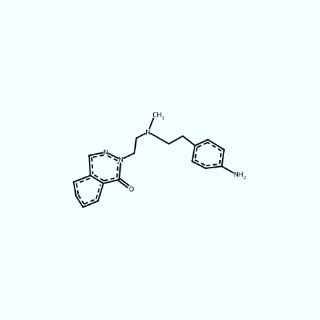 CN(CCc1ccc(N)cc1)CCn1ncc2ccccc2c1=O